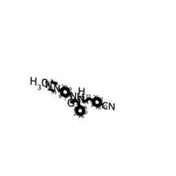 CN1CCN(c2ccc(NC(=O)C(NCCc3ccc(C#N)cc3)c3ccccc3)cc2)CC1